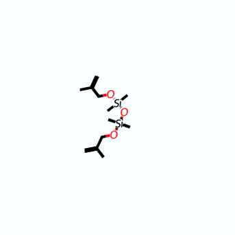 C=C(C)CO[Si](C)(C)O[Si](C)(C)OCC(=C)C